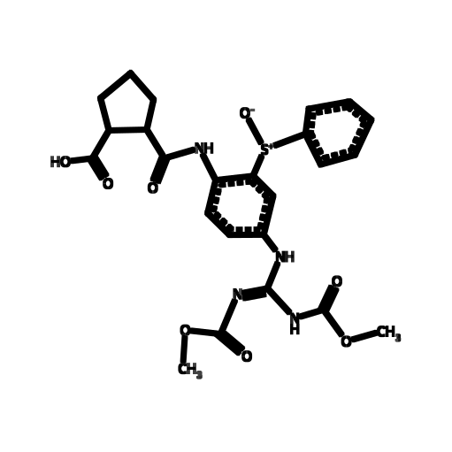 COC(=O)N=C(NC(=O)OC)Nc1ccc(NC(=O)C2CCCC2C(=O)O)c([S+]([O-])c2ccccc2)c1